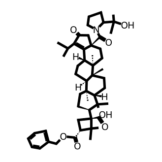 CC(C)C1=C2[C@H]3CC[C@@H]4[C@]5(C)CC[C@H]([C@@]6(C(=O)O)C[C@@H](C(=O)OCc7ccccc7)C6(C)C)C(C)(C)[C@H]5CC[C@@]4(C)[C@]3(C)CC[C@@]2(C(=O)N2CCCC2C(C)(C)O)CC1=O